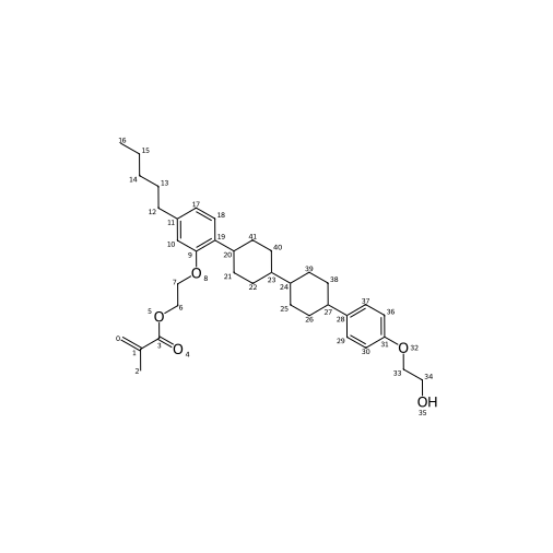 C=C(C)C(=O)OCCOc1cc(CCCCC)ccc1C1CCC(C2CCC(c3ccc(OCCO)cc3)CC2)CC1